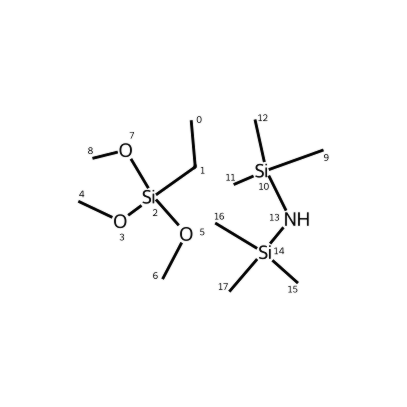 CC[Si](OC)(OC)OC.C[Si](C)(C)N[Si](C)(C)C